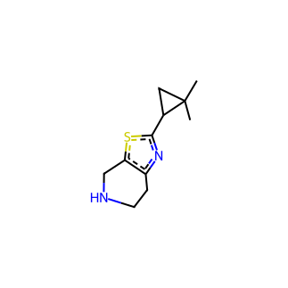 CC1(C)CC1c1nc2c(s1)CNCC2